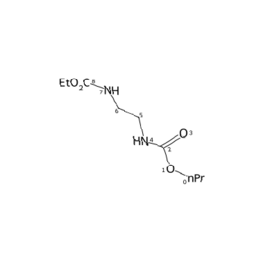 CCCOC(=O)NCCNC(=O)OCC